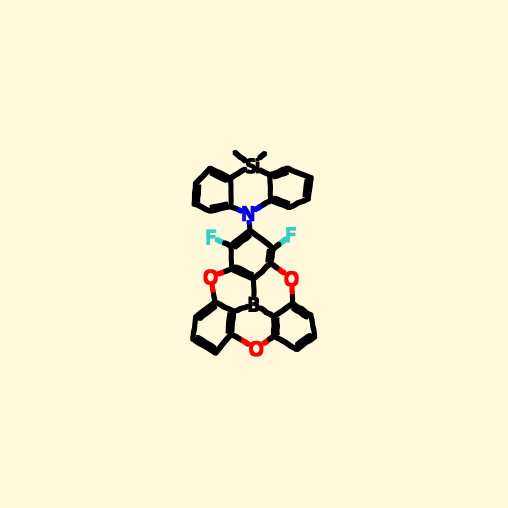 C[Si]1(C)c2ccccc2N(c2c(F)c3c4c(c2F)Oc2cccc5c2B4c2c(cccc2O3)O5)c2ccccc21